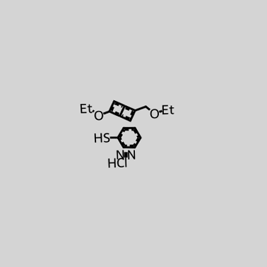 CCOCc1cc2c(OCC)cc1-2.Cl.N#N.Sc1ccccc1